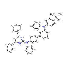 CC(C)(C)c1ccc(-n2c3ccccc3c3c(-c4ccc5c(c4)c4ccccc4n5-c4nc(-c5ccccc5)cc(-c5ccccc5)n4)cccc32)cc1